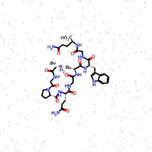 CC[C@H](C)[C@H](N)C(=O)NCC(=O)N1CCC[C@H]1C(=O)N[C@@H](CCC(N)=O)C(=O)NCC(=O)N[C@H](C(=O)N[C@@H](Cc1c[nH]c2ccccc12)C(=O)NCC(=O)N[C@@H](CCC(N)=O)C(=O)O)[C@@H](C)CC